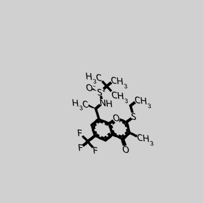 CCSc1oc2c([C@@H](C)N[S@+]([O-])C(C)(C)C)cc(C(F)(F)F)cc2c(=O)c1C